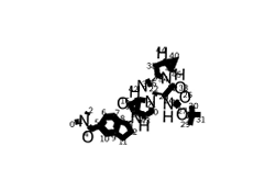 CN(C)C(=O)c1ccc2c(c1)CC[C@H]2N1C(=O)[C@@H]2C[C@H]1CN2C[C@H](NC(=O)OC(C)(C)C)C(=O)N1[C@H](C#N)C[C@@H]2C[C@@H]21